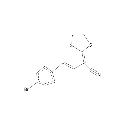 N#CC(/C=C/c1ccc(Br)cc1)=C1SCCS1